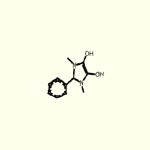 CN1C(O)=C(O)N(C)C1c1ccccc1